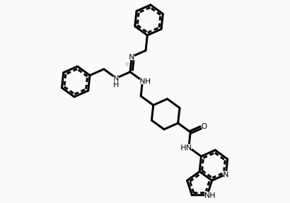 O=C(Nc1ccnc2[nH]ccc12)C1CCC(CN/C(=N\Cc2ccccc2)NCc2ccccc2)CC1